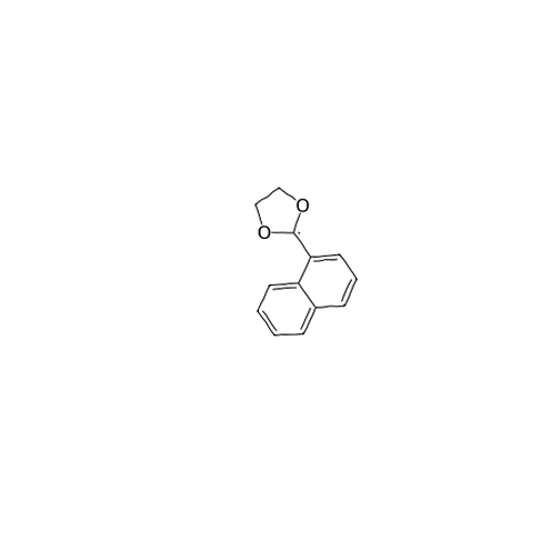 c1ccc2c([C]3OCCO3)cccc2c1